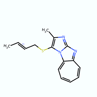 C/C=C/CSc1c(C)nc2nc3cccccc3n12